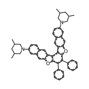 CC1CC(C)CN(c2ccc3cc4c(cc3c2)oc2c(-c3ccccc3)c(-c3ccccc3)c3oc5cc6cc(N7CC(C)CC(C)C7)ccc6cc5c3c24)C1